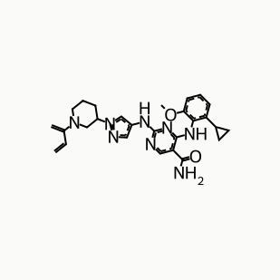 C=CC(=C)N1CCCC(n2cc(Nc3ncc(C(N)=O)c(Nc4c(OC)cccc4C4CC4)n3)cn2)C1